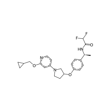 C[C@H](NC(=O)C(F)F)c1ccc(OC2CCN(c3ccnc(OCC4CC4)c3)C2)cc1